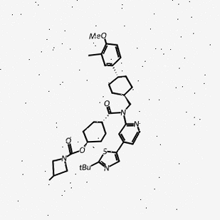 COc1ccc([C@H]2CC[C@H](CN(c3cc(-c4cnc(C(C)(C)C)s4)ccn3)C(=O)[C@H]3CC[C@H](OC(=O)N4CC(C)C4)CC3)CC2)cc1C